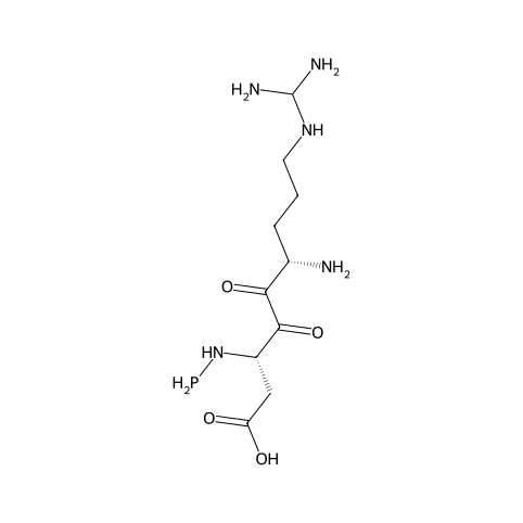 NC(N)NCCC[C@H](N)C(=O)C(=O)[C@H](CC(=O)O)NP